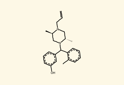 C=CCN1C[C@H](C)N(C(c2cccc(O)c2)c2ccccc2C)C[C@H]1C